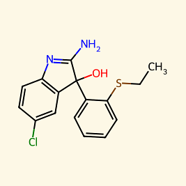 CCSc1ccccc1C1(O)C(N)=Nc2ccc(Cl)cc21